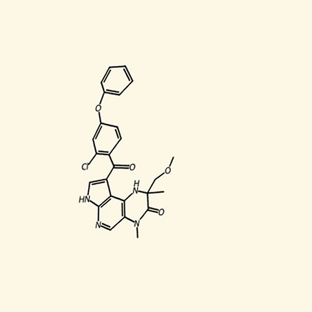 COCC1(C)Nc2c(cnc3[nH]cc(C(=O)c4ccc(Oc5ccccc5)cc4Cl)c23)N(C)C1=O